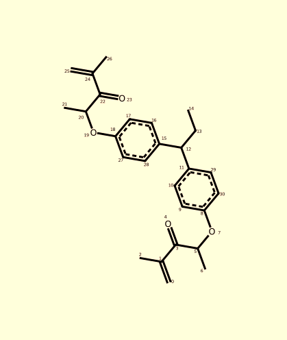 C=C(C)C(=O)C(C)Oc1ccc(C(CC)c2ccc(OC(C)C(=O)C(=C)C)cc2)cc1